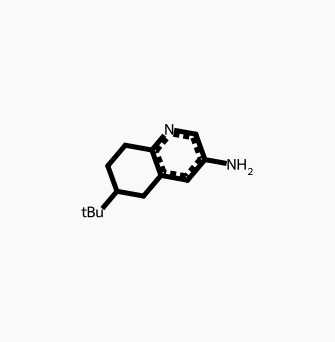 CC(C)(C)C1CCc2ncc(N)cc2C1